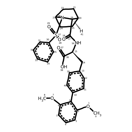 COc1cccc(OC)c1-c1ccc(C[C@H](NC(=O)[C@@H]2C3CCC(CC3)N2S(=O)(=O)c2ccccc2)C(=O)O)cc1